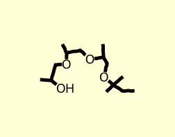 CCC(C)(C)OCC(C)OCC(C)OCC(C)O